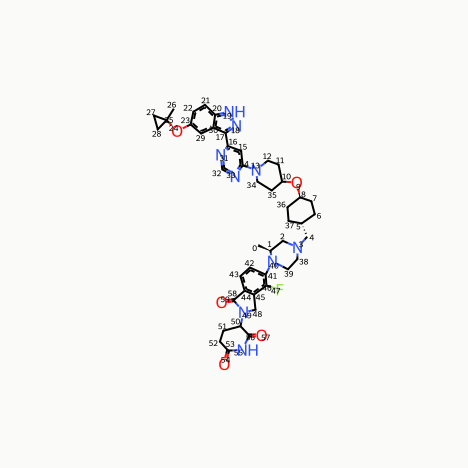 C[C@H]1CN(C[C@H]2CC[C@H](OC3CCN(c4cc(-c5n[nH]c6ccc(OC7(C)CC7)cc56)ncn4)CC3)CC2)CCN1c1ccc2c(c1F)CN(C1CCC(=O)NC1=O)C2=O